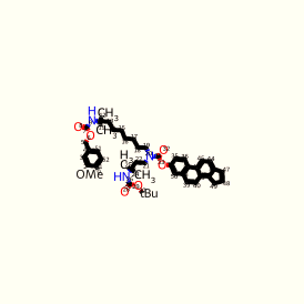 COc1ccc(COC(=O)NC(C)(C)CCCCCCCN(CCC(C)(C)NC(=O)OC(C)(C)C)C(=O)Oc2ccc3c(ccc4c5c(ccc43)C=CC5)c2)cc1